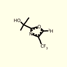 [2H]c1oc(C(C)(C)O)nc1C(F)(F)F